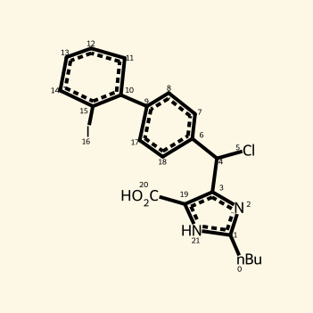 CCCCc1nc(C(Cl)c2ccc(-c3ccccc3I)cc2)c(C(=O)O)[nH]1